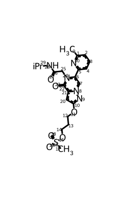 Cc1cccc(-c2cn3nc(OCCCOS(C)(=O)=O)cc3c(=O)n2CC(=O)NC(C)C)n1